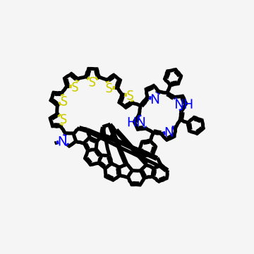 CN1CC2c3c4ccc5c6ccc7c8c9c%10c%11c%12c%13c(c%14ccc%15c(c%16c3c3c4c5c(c86)c%10c3c%11c%16c%15c%14%12)C2C1c1ccc(-c2ccc(-c3ccc(-c4ccc(-c5ccc(-c6ccc(-c8c%10nc(c(-c%11ccccc%11)c%11ccc([nH]%11)c(-c%11ccccc%11)c%11nc(c(-c%12ccccc%12)c%12ccc8[nH]%12)C=C%11)C=C%10)s6)s5)s4)s3)s2)s1)C=CC7C%139